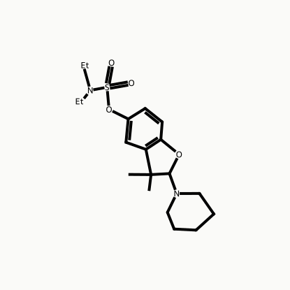 CCN(CC)S(=O)(=O)Oc1ccc2c(c1)C(C)(C)C(N1CCCCC1)O2